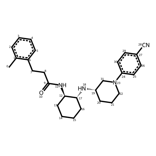 Cc1ccccc1CCC(=O)N[C@@H]1CCCC[C@H]1N[C@H]1CCCN(c2ccc(C#N)cc2)C1